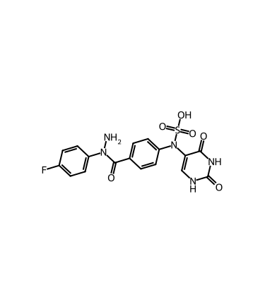 NN(C(=O)c1ccc(N(c2c[nH]c(=O)[nH]c2=O)S(=O)(=O)O)cc1)c1ccc(F)cc1